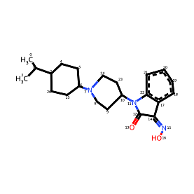 CC(C)C1CCC(N2CCC(N3C(=O)C(=NO)c4ccccc43)CC2)CC1